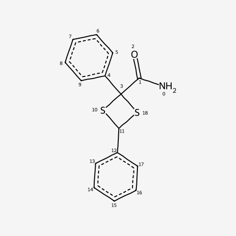 NC(=O)C1(c2ccccc2)SC(c2ccccc2)S1